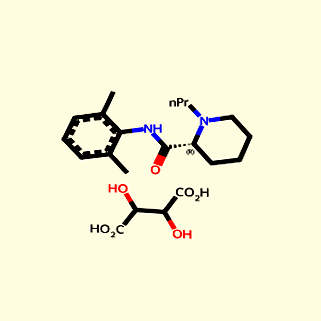 CCCN1CCCC[C@@H]1C(=O)Nc1c(C)cccc1C.O=C(O)C(O)C(O)C(=O)O